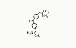 CC(N)=Cc1ccc(Nc2ccc(C=C(C)N)cc2)cc1